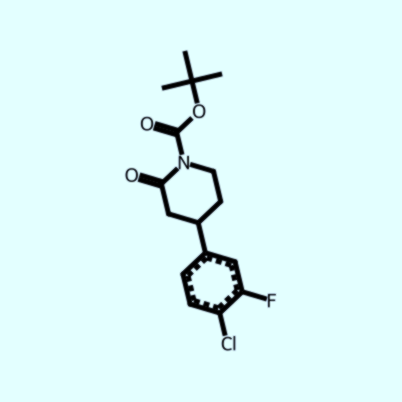 CC(C)(C)OC(=O)N1CCC(c2ccc(Cl)c(F)c2)CC1=O